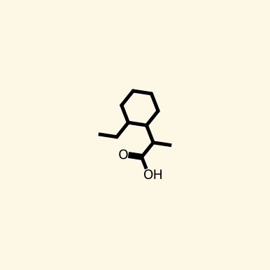 CCC1CCCCC1C(C)C(=O)O